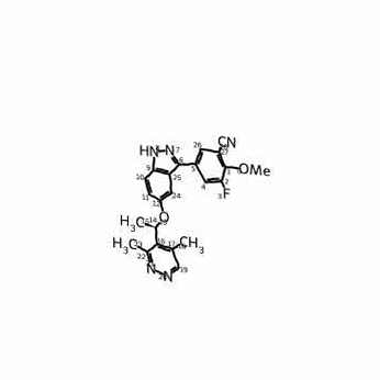 COc1c(F)cc(-c2n[nH]c3ccc(O[C@H](C)c4c(C)cnnc4C)cc23)cc1C#N